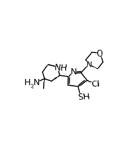 CC1(N)CCNC(c2cc(S)c(Cl)c(N3CCOCC3)n2)C1